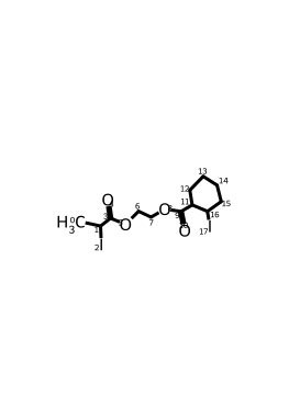 CC(I)C(=O)OCCOC(=O)C1CCCCC1I